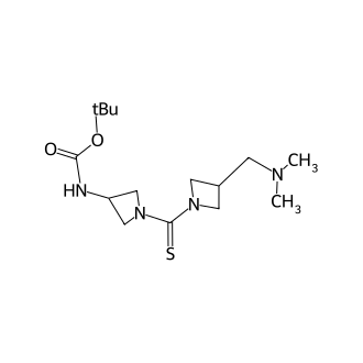 CN(C)CC1CN(C(=S)N2CC(NC(=O)OC(C)(C)C)C2)C1